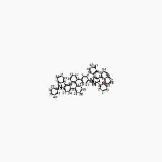 c1ccc(-c2nn(-c3ccc(-c4ccccc4-c4ccccc4-c4ccc5c(c4)c4ccccc4n5-c4ccccc4)cc3)c(-c3ccccc3)c2-c2cccc3ccccc23)cc1